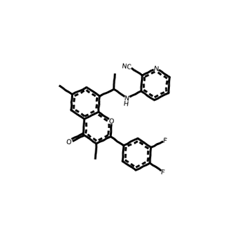 Cc1cc(C(C)Nc2cccnc2C#N)c2oc(-c3ccc(F)c(F)c3)c(C)c(=O)c2c1